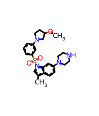 COC1CCN(c2cccc(S(=O)(=O)n3cc(C)c4ccc(N5CCNCC5)cc43)c2)C1